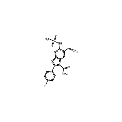 C=Cc1cc2c(C(=O)NC)c(-c3ccc(F)cc3)oc2nc1NS(C)(=O)=O